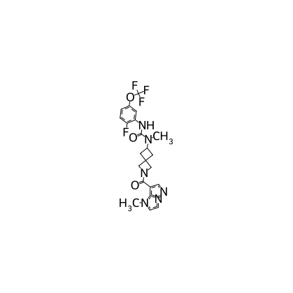 CN(C(=O)Nc1cc(OC(F)(F)F)ccc1F)C1CC2(C1)CN(C(=O)c1cnn3ccn(C)c13)C2